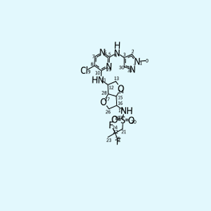 Cn1cc(Nc2ncc(Cl)c(NC3COC4C(NS(=O)(=O)CC(C)(F)F)COC34)n2)cn1